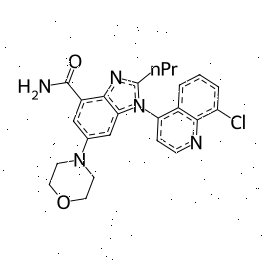 CCCc1nc2c(C(N)=O)cc(N3CCOCC3)cc2n1-c1ccnc2c(Cl)cccc12